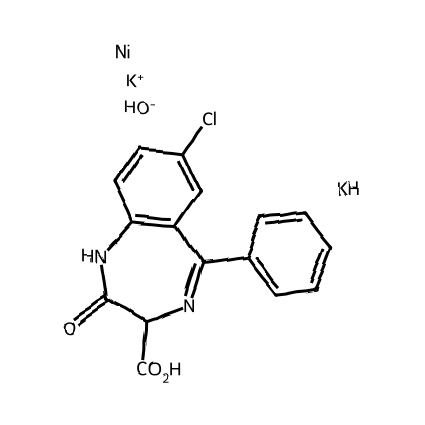 O=C(O)C1N=C(c2ccccc2)c2cc(Cl)ccc2NC1=O.[K+].[KH].[Ni].[OH-]